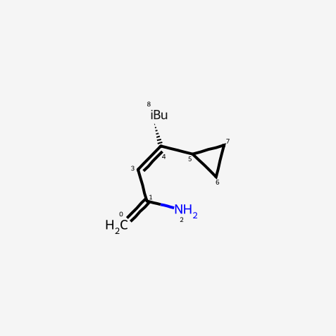 C=C(N)/C=C(\C1CC1)[C@@H](C)CC